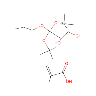 C=C(C)C(=O)O.CCCOC(O[Si](C)(C)C)(O[Si](C)(C)C)C(O)CO